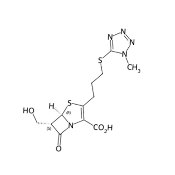 Cn1nnnc1SCCCC1=C(C(=O)O)N2C(=O)[C@H](CO)[C@H]2S1